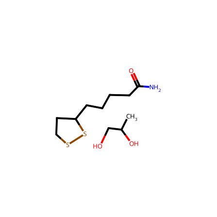 CC(O)CO.NC(=O)CCCCC1CCSS1